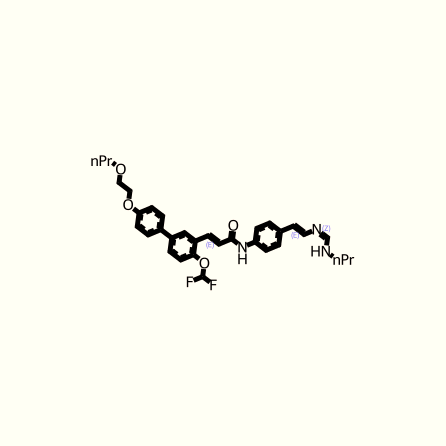 CCCN/C=N\C=C\c1ccc(NC(=O)/C=C/c2cc(-c3ccc(OCCOCCC)cc3)ccc2OC(F)F)cc1